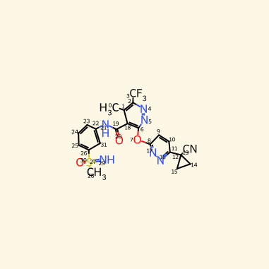 Cc1c(C(F)(F)F)nnc(Oc2ccc(C3(C#N)CC3)nn2)c1C(=O)Nc1cccc(S(C)(=N)=O)c1